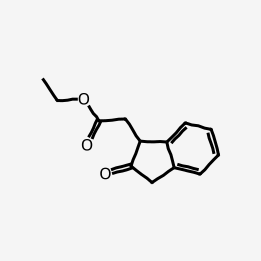 CCOC(=O)CC1C(=O)Cc2ccccc21